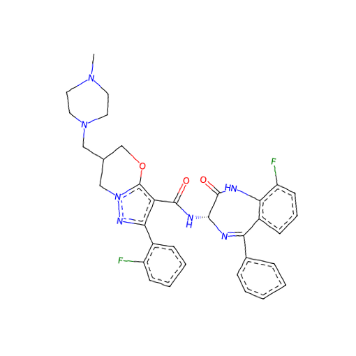 CN1CCN(CC2COc3c(C(=O)N[C@H]4N=C(c5ccccc5)c5cccc(F)c5NC4=O)c(-c4ccccc4F)nn3C2)CC1